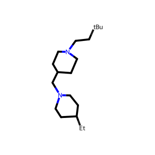 CCC1CCN(CC2CCN(CCC(C)(C)C)CC2)CC1